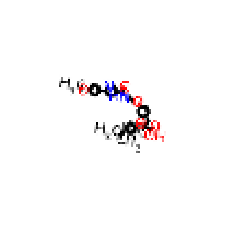 COc1ccc(-c2ccc(C(=O)NCCOc3ccc(CC(C)(Oc4ccc(C(C)C)cc4)C(=O)O)cc3)cn2)cc1